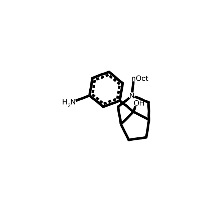 CCCCCCCCN1CC2CCC(C1)C2(O)c1cccc(N)c1